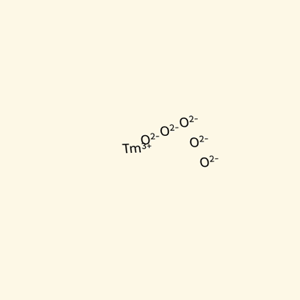 [O-2].[O-2].[O-2].[O-2].[O-2].[Tm+3]